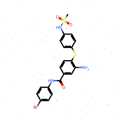 CS(=O)(=O)Nc1ccc(Sc2ccc(C(=O)Nc3ccc(Br)cc3)cc2N)cc1